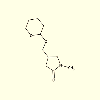 CN1CC(COC2CCCCO2)CC1=O